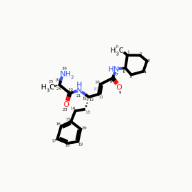 CC1CCCCC1NC(=O)/C=C/[C@H](CCc1ccccc1)NC(=O)[C@H](C)N